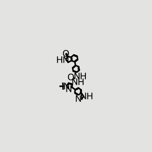 CC(C)(C)n1cc(NC(=O)Nc2ccc(-c3cccc4c3CNC4=O)cc2)c(-c2ccc3[nH]cnc3c2)n1